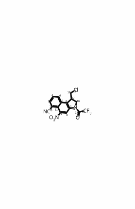 N#Cc1cccc2c3c(cc([N+](=O)[O-])c12)N(C(=O)C(F)(F)F)CC3CCl